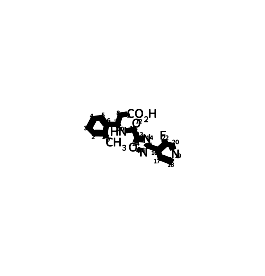 Cc1ccccc1C(CC(=O)O)NC(=O)c1nc(-c2ccncc2F)no1